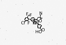 N#CC1(CC(C(=O)Nc2ccc(C(=O)O)cc2)c2ccc(-c3c(C(F)F)ccc(Cl)c3F)c[n+]2[O-])CC1